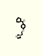 O=C(c1ccccc1)c1ccc(OCCn2ccnc2)cc1